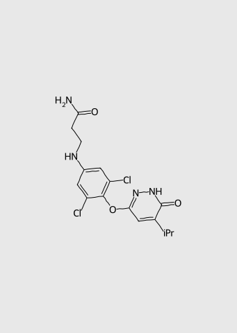 CC(C)c1cc(Oc2c(Cl)cc(NCCC(N)=O)cc2Cl)n[nH]c1=O